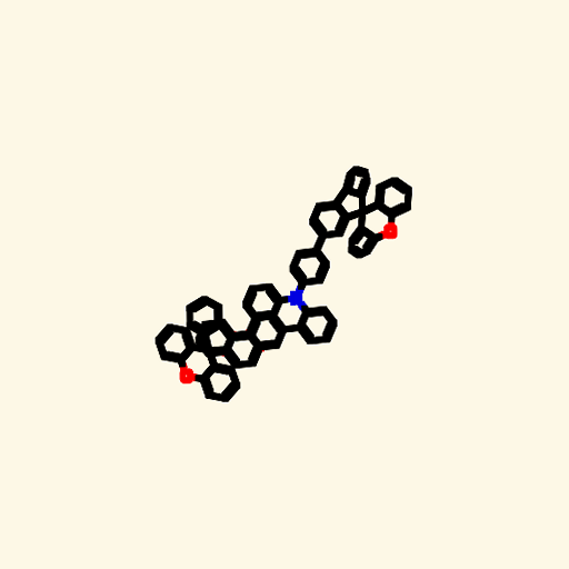 c1ccc(-c2ccc(-c3ccccc3N(c3ccc(-c4ccc5c(c4)C4(c6ccccc6Oc6ccccc64)c4ccccc4-5)cc3)c3cccc(-c4cccc5c4-c4ccccc4C54c5ccccc5Oc5ccccc54)c3)cc2)cc1